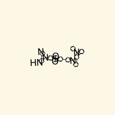 CN1CCC2C(C1)C1CNCCC1N2c1ccc(S(=O)(=O)c2ccc(-c3ccc(-n4c5ccccc5c5cc6c7ccccc7n(-c7ccccc7)c6cc54)cc3)cc2)cc1